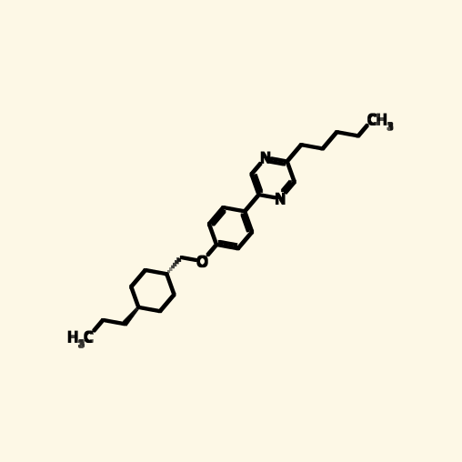 CCCCCc1cnc(-c2ccc(OC[C@H]3CC[C@H](CCC)CC3)cc2)cn1